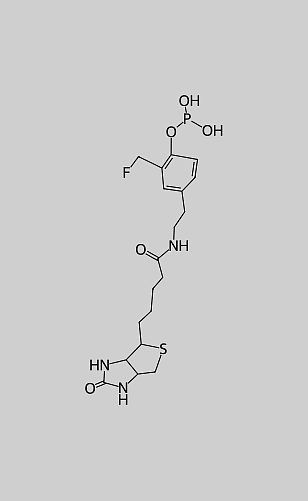 O=C(CCCCC1SCC2NC(=O)NC21)NCCc1ccc(OP(O)O)c(CF)c1